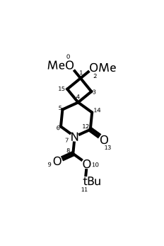 COC1(OC)CC2(CCN(C(=O)OC(C)(C)C)C(=O)C2)C1